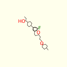 CCC(O)C1CCC(c2cc(F)c3c(c2)CCC(CCCOC2CCC(C)CC2)O3)CC1